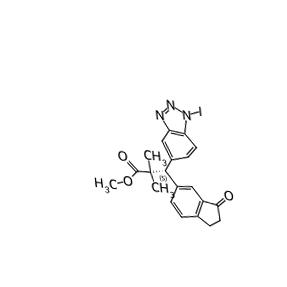 COC(=O)C(C)(C)[C@@H](c1ccc2c(c1)C(=O)CC2)c1ccc2c(c1)nnn2I